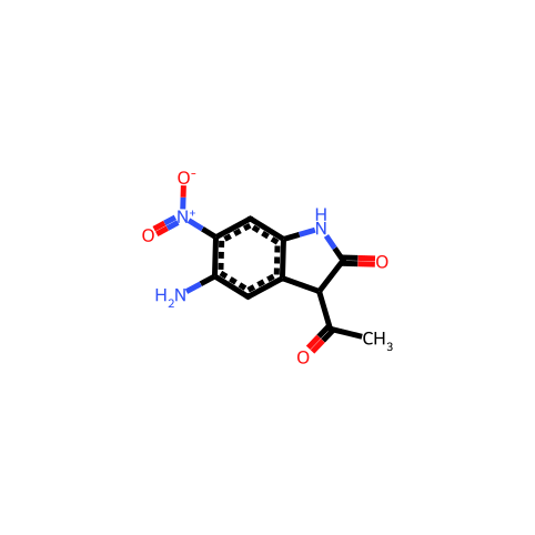 CC(=O)C1C(=O)Nc2cc([N+](=O)[O-])c(N)cc21